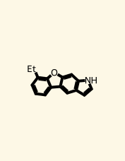 CCc1cccc2c1oc1cc3[nH]ccc3cc12